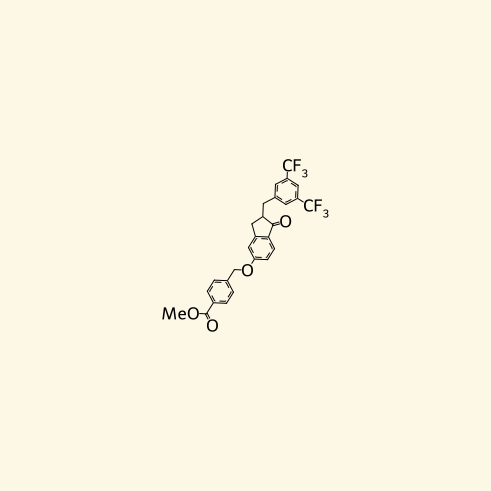 COC(=O)c1ccc(COc2ccc3c(c2)CC(Cc2cc(C(F)(F)F)cc(C(F)(F)F)c2)C3=O)cc1